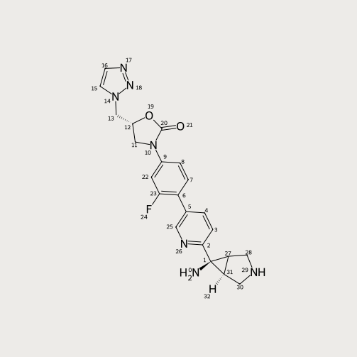 N[C@@]1(c2ccc(-c3ccc(N4C[C@H](Cn5ccnn5)OC4=O)cc3F)cn2)C2CNC[C@H]21